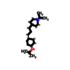 CC(C)O[C@H]1CC[C@H](CCCC2CCN(C(C)C)CC2)CC1